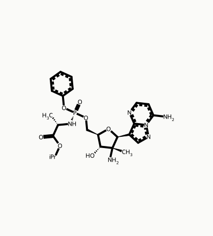 CC(C)OC(=O)[C@H](C)N[P@](=O)(OC[C@H]1O[C@@H](c2cnn3c(N)ccnc23)[C@](C)(N)[C@@H]1O)Oc1ccccc1